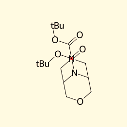 CC(C)(C)OC(=O)N1CC2COCC(C1)N2C(=O)OC(C)(C)C